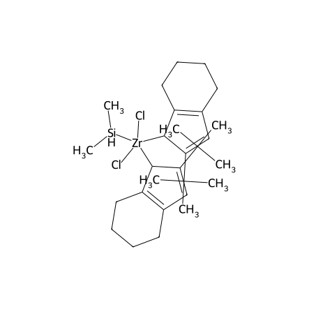 C[SiH](C)[Zr]([Cl])([Cl])([CH]1C(C(C)(C)C)=CC2=C1CCCC2)[CH]1C(C(C)(C)C)=CC2=C1CCCC2